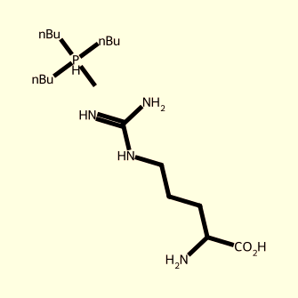 CCCC[PH](C)(CCCC)CCCC.N=C(N)NCCCC(N)C(=O)O